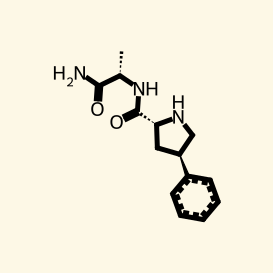 C[C@H](NC(=O)[C@H]1C[C@H](c2ccccc2)CN1)C(N)=O